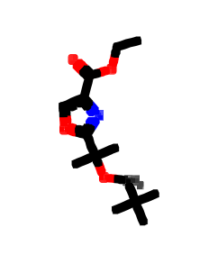 CCOC(=O)c1coc(C(C)(C)O[SiH2]C(C)(C)C)n1